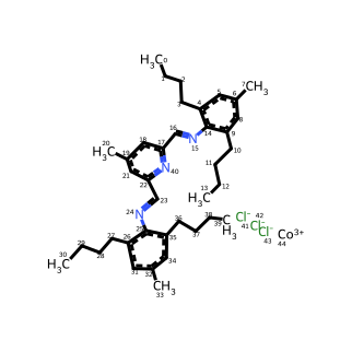 CCCCc1cc(C)cc(CCCC)c1N=Cc1cc(C)cc(C=Nc2c(CCCC)cc(C)cc2CCCC)n1.[Cl-].[Cl-].[Cl-].[Co+3]